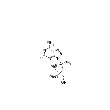 BC(B)(CC(C#C)(CO)OC)n1cnc2c(N)nc(F)nc21